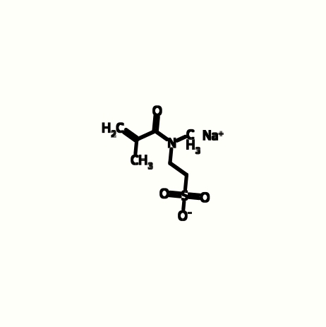 C=C(C)C(=O)N(C)CCS(=O)(=O)[O-].[Na+]